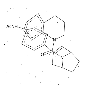 CC(=O)Nc1ccc(C2=CC3CCC(C2)N3C(=O)N2CCCc3ccccc32)cc1